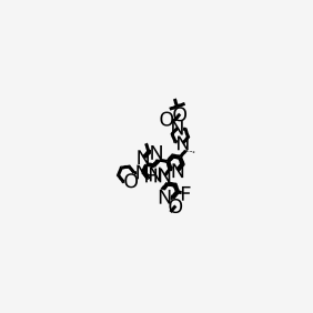 COc1ncc(Nc2ncc([C@@H](C)N3CCN(C(=O)OC(C)(C)C)CC3)cc2-c2nc(C)nc3c2ncn3C2CCCCO2)cc1F